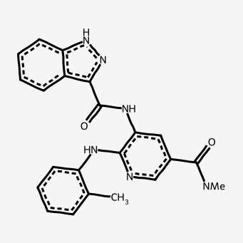 CNC(=O)c1cnc(Nc2ccccc2C)c(NC(=O)c2n[nH]c3ccccc23)c1